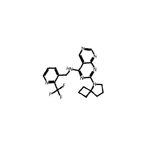 FC(F)(F)c1ncccc1CNc1nc(N2CCCC23CCC3)nc2ncncc12